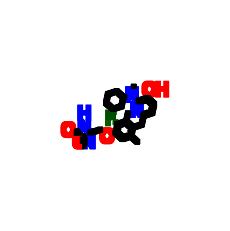 Cc1cc(OCc2noc(=O)[nH]2)c(F)c(C)c1Cc1ccc(O)c(N(C)C2CCCCC2)n1